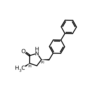 C[C@@H]1C[C@H](Cc2ccc(-c3ccccc3)cc2)NC1=O